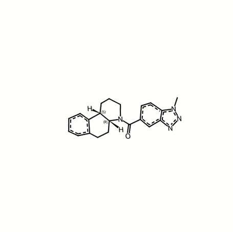 Cn1nnc2cc(C(=O)N3CCC[C@H]4c5ccccc5CC[C@H]43)ccc21